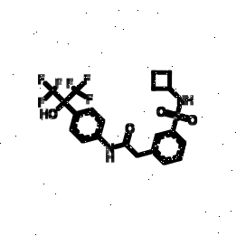 O=C(Cc1cccc(S(=O)(=O)NC2CCC2)c1)Nc1ccc(C(O)(C(F)(F)F)C(F)(F)F)cc1